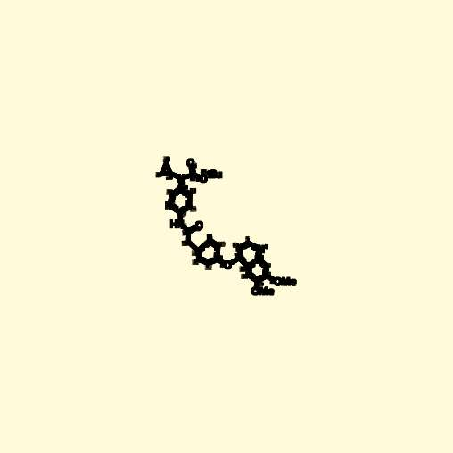 COc1cc2ncnc(Oc3ccc(CC(=O)Nc4ccc(N(C(=O)OC(C)(C)C)C5CC5)cn4)cc3)c2cc1OC